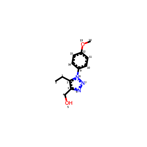 CCc1c(CO)nnn1-c1ccc(OC)cc1